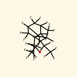 FC(F)(F)C(F)(F)C12C(F)(F)C3(F)C(F)(F)C(F)(C(F)(F)C(F)(C3(F)F)C1(C(F)(F)C(F)(F)F)C(F)(F)C(F)(F)F)C2(F)F